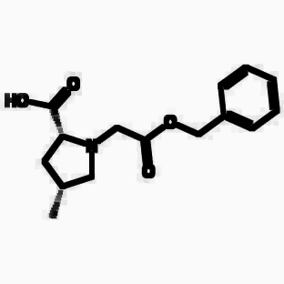 C[C@@H]1C[C@H](C(=O)O)N(CC(=O)OCc2ccccc2)C1